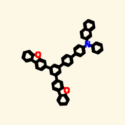 c1ccc(N(c2ccc(-c3ccc(-c4cc(-c5ccc6c(c5)oc5ccccc56)cc(-c5ccc6c(c5)oc5ccccc56)c4)cc3)cc2)c2ccc3ccccc3c2)cc1